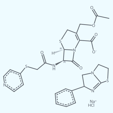 CC(=O)OCC1=C(C(=O)[O-])N2C(=O)[C@@H](NC(=O)CSc3ccncc3)[C@H]2SC1.Cl.[Na+].c1ccc(C2CN3CCSC3=N2)cc1